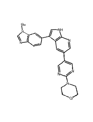 CC(C)(C)n1cnc2ccc(-c3c[nH]c4ncc(-c5cnc(N6CCOCC6)nc5)cc34)cc21